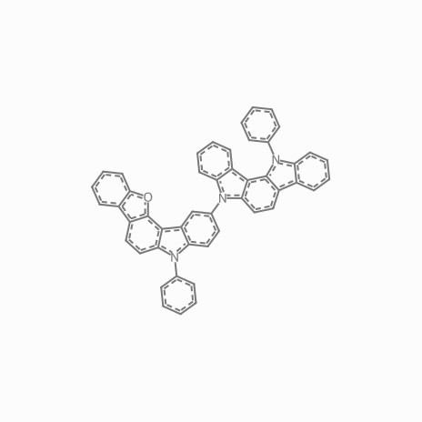 c1ccc(-n2c3ccc(-n4c5ccccc5c5c4ccc4c6ccccc6n(-c6ccccc6)c45)cc3c3c4oc5ccccc5c4ccc32)cc1